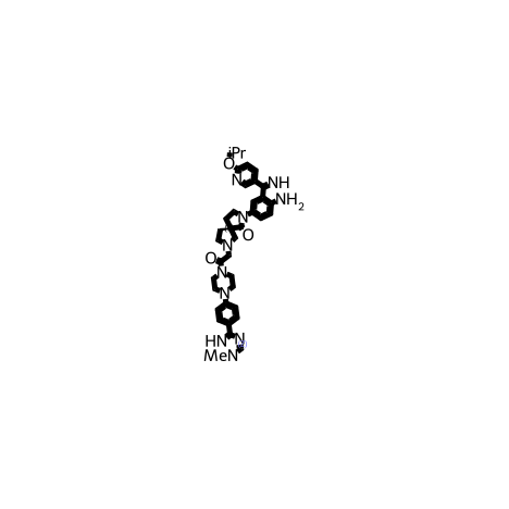 CN/C=N\C(=N)c1ccc(N2CCN(C(=O)CN3CC[C@]4(CCN(c5ccc(N)c(C(=N)c6ccc(OC(C)C)nc6)c5)C4=O)C3)CC2)cc1